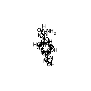 Nc1nc2c(ncn2[C@@H]2O[C@@H]3COP(=O)(O)O[C@H]4[C@@H](F)[C@H](n5cnc6c(O)ccnc65)O[C@@H]4COP(=O)(O)O[C@@H]2[C@@H]3F)c(=O)[nH]1